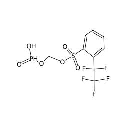 O=[PH](O)OCOS(=O)(=O)c1ccccc1C(F)(F)C(F)(F)F